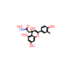 Cc1cc(C2=CC(O)(CC(=O)NO)c3c(O)cc(O)cc3O2)ccc1O